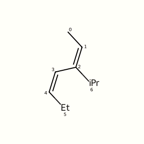 C/C=C(\C=C/CC)C(C)C